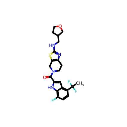 CC(F)(F)c1ccc(F)c2[nH]c(C(=O)N3CCc4nc(NCC5CCOC5)sc4C3)cc12